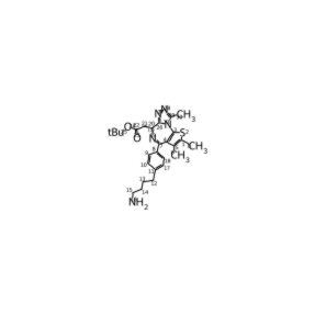 Cc1sc2c(c1C)C(c1ccc(CCCCN)cc1)=N[C@@H](CC(=O)OC(C)(C)C)c1nnc(C)n1-2